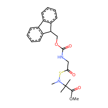 COC(=O)C(C)(C)N(C)SC(=O)CNC(=O)OCC1c2ccccc2-c2ccccc21